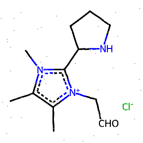 Cc1c(C)[n+](CC=O)c(C2CCCN2)n1C.[Cl-]